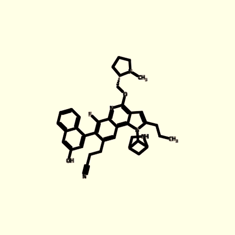 CCCc1cc2c(OC[C@@H]3CCCN3C)nc3c(F)c(-c4cc(O)cc5ccccc45)c(CCC#N)cc3c2n1C1C2CNC1C2